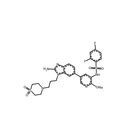 COc1ncc(-c2ccc3nc(N)n(CCCN4CCS(=O)(=O)CC4)c3c2)cc1NS(=O)(=O)c1ccc(F)cc1F